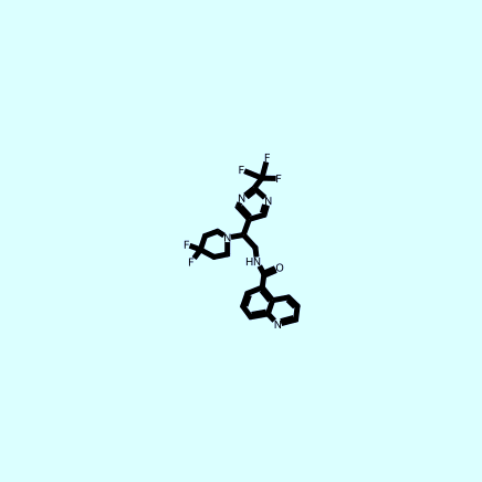 O=C(NCC(c1cnc(C(F)(F)F)nc1)N1CCC(F)(F)CC1)c1cccc2ncccc12